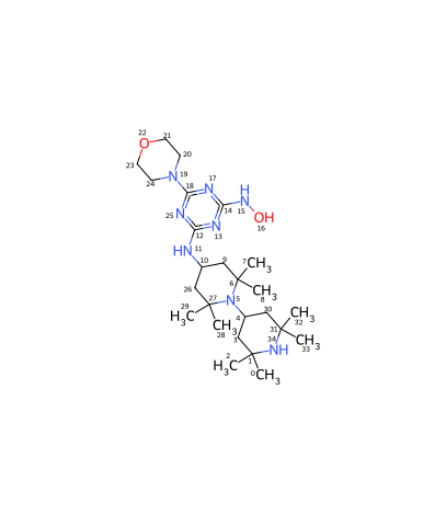 CC1(C)CC(N2C(C)(C)CC(Nc3nc(NO)nc(N4CCOCC4)n3)CC2(C)C)CC(C)(C)N1